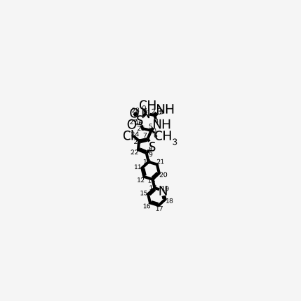 CN1C(=N)N[C@](C)(c2sc(C3C=CC(c4ccccn4)=CC3)cc2Cl)CS1(=O)=O